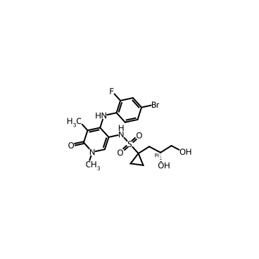 Cc1c(Nc2ccc(Br)cc2F)c(NS(=O)(=O)C2(C[C@@H](O)CO)CC2)cn(C)c1=O